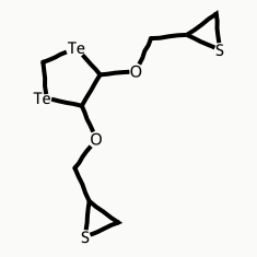 C1[Te]C(OCC2CS2)C(OCC2CS2)[Te]1